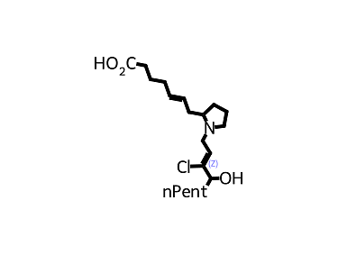 CCCCCC(O)/C(Cl)=C/CN1CCCC1CC=CCCCC(=O)O